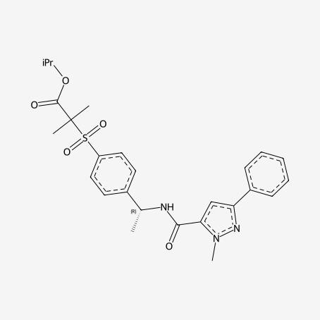 CC(C)OC(=O)C(C)(C)S(=O)(=O)c1ccc([C@@H](C)NC(=O)c2cc(-c3ccccc3)nn2C)cc1